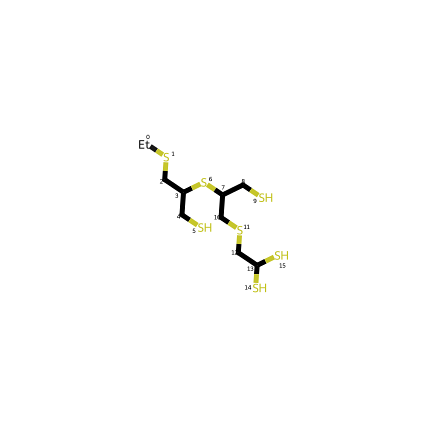 CCSCC(CS)SC(CS)CSCC(S)S